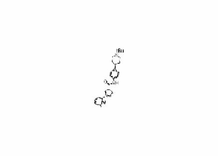 CC(C)(C)N1CCC(c2ccc(NC(=O)[C@@H]3CCN(c4cccnn4)C3)cc2)CC1